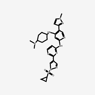 CN(C)C1CCC(Nc2cc(Nc3ccnc(-c4cnn(S(=O)(=O)C5CC5)c4)n3)ncc2-c2ccn(C)n2)CC1